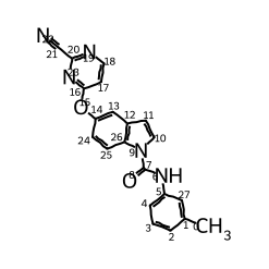 Cc1cccc(NC(=O)n2ccc3cc(Oc4ccnc(C#N)n4)ccc32)c1